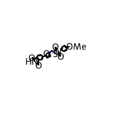 COc1ccc(N2C(=O)S/C(=C\c3ccc(-c4ccc5c(c4)C(=O)NC5=O)o3)C2=O)cc1